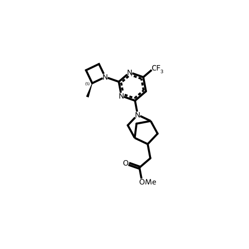 COC(=O)CC1CC2CC1CN2c1cc(C(F)(F)F)nc(N2CC[C@@H]2C)n1